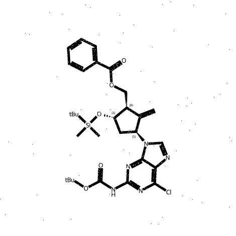 C=C1[C@H](COC(=O)c2ccccc2)[C@@H](O[Si](C)(C)C(C)(C)C)C[C@@H]1n1cnc2c(Cl)nc(NC(=O)OC(C)(C)C)nc21